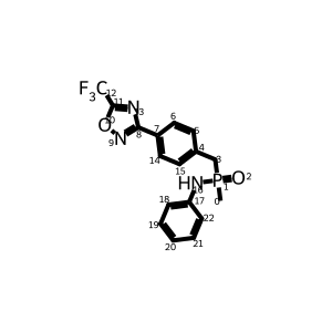 CP(=O)(Cc1ccc(-c2noc(C(F)(F)F)n2)cc1)Nc1ccccc1